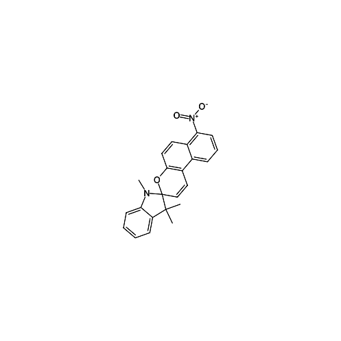 CN1c2ccccc2C(C)(C)C12C=Cc1c(ccc3c([N+](=O)[O-])cccc13)O2